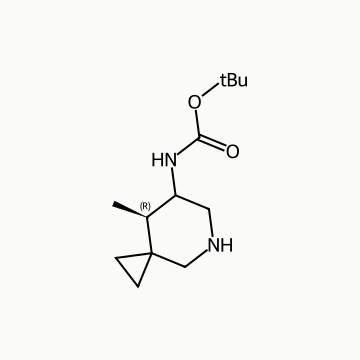 C[C@H]1C(NC(=O)OC(C)(C)C)CNCC12CC2